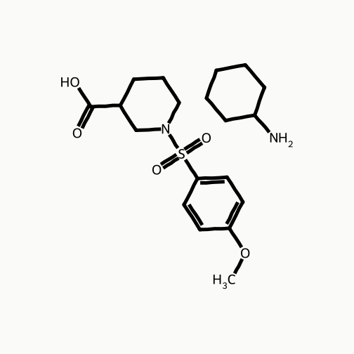 COc1ccc(S(=O)(=O)N2CCCC(C(=O)O)C2)cc1.NC1CCCCC1